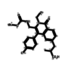 CC(C)Cn1c(CNC(=O)OC(C)(C)C)c(-c2ccc(Cl)cc2)c2cc(CC(C)C(=O)O)ccc2c1=O